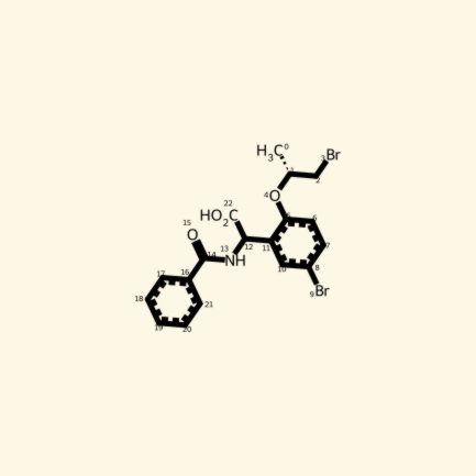 C[C@H](CBr)Oc1ccc(Br)cc1C(NC(=O)c1ccccc1)C(=O)O